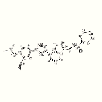 CC(C)Oc1ccc(-c2ncc(-c3cccc4c3CC=C4/C=N/C(=O)N3CCOCC3)s2)cc1C#N